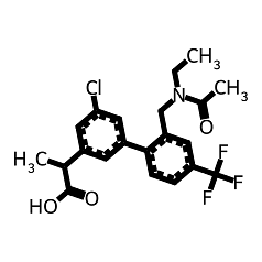 CCN(Cc1cc(C(F)(F)F)ccc1-c1cc(Cl)cc(C(C)C(=O)O)c1)C(C)=O